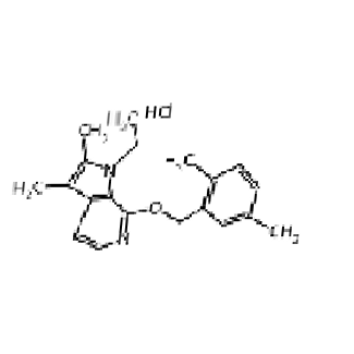 CCn1c(C)c(C)c2ccnc(OCc3cc(C)ccc3C)c21.Cl